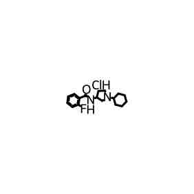 Cl.O=C(NC1CCN(C2CCCCC2)C1)c1ccccc1F